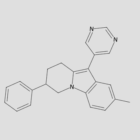 Cc1ccc2c(c1)c(-c1cncnc1)c1n2CC(c2ccccc2)CC1